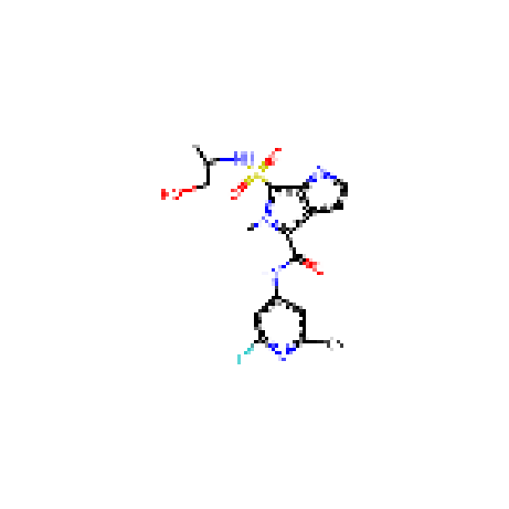 CC(CO)NS(=O)(=O)c1c2[nH]ccc2c(C(=O)Nc2cc(F)nc(C#N)c2)n1C